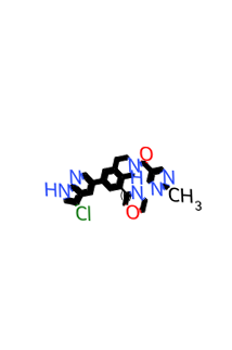 Cc1ncc(C(=O)N2CCc3cc(-c4cnc5[nH]cc(Cl)c5c4)cc([C@@H]4COCCN4)c3C2)cn1